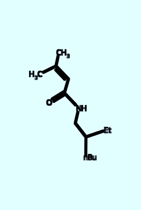 CCCCC(CC)CNC(=O)C=C(C)C